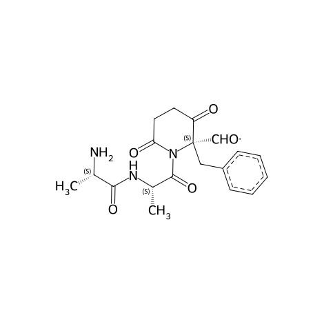 C[C@H](N)C(=O)N[C@@H](C)C(=O)N1C(=O)CCC(=O)[C@@]1([C]=O)Cc1ccccc1